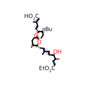 CCCC[C@H]1CC[C@]2(CC[C@H](C)[C@@H](C/C=C(C)/C=C/[C@H](O)[C@@H](C)/C=C/C(=O)OCC)O2)O[C@H]1/C=C/C(C)=C/C(=O)O